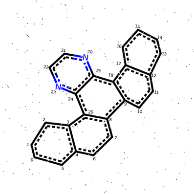 c1ccc2c(c1)ccc1c3ccc4ccccc4c3c3nccnc3c21